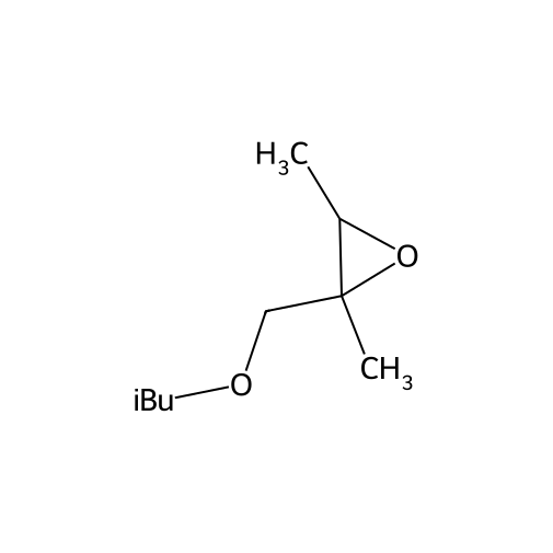 CCC(C)OCC1(C)OC1C